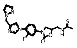 CC(=S)NCC1CN(c2ccc(-n3cnc(Cn4cccn4)c3)c(F)c2)C(=O)O1